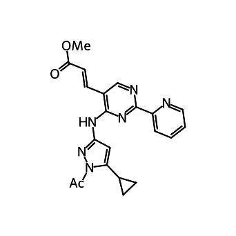 COC(=O)/C=C/c1cnc(-c2ccccn2)nc1Nc1cc(C2CC2)n(C(C)=O)n1